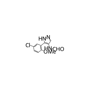 COc1ccc(Cl)cc1-c1[nH]ncc1NC=O